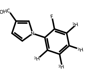 [2H]c1c([2H])c([2H])c(-n2ccc(C=O)c2)c(F)c1[2H]